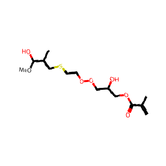 C=C(C)C(=O)OCC(O)COOCCSCC(C)C(O)OC